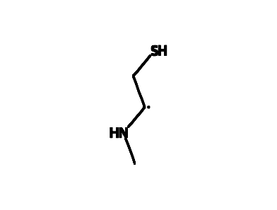 CN[CH]CS